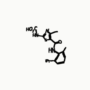 Cc1cccc(C(C)C)c1NC(=O)c1sc(NC(=O)O)nc1C